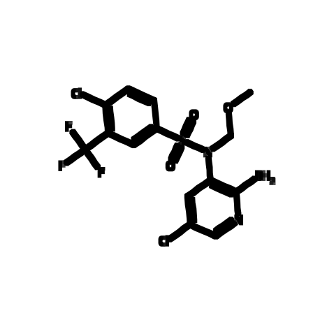 Bc1ncc(Cl)cc1N(COC)S(=O)(=O)c1ccc(Cl)c(C(F)(F)F)c1